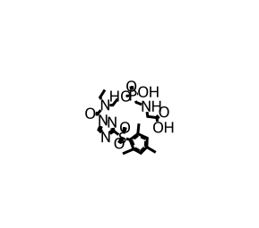 CCN(CC)C(=O)n1cnc(S(=O)(=O)c2c(C)cc(C)cc2C)n1.O=C(O)CNCP(=O)(O)O